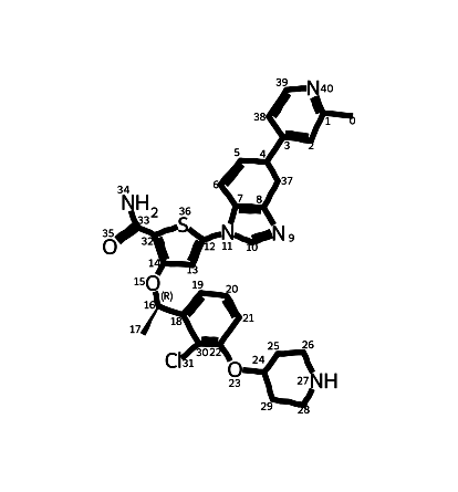 Cc1cc(C2C=Cc3c(ncn3-c3cc(O[C@H](C)c4cccc(OC5CCNCC5)c4Cl)c(C(N)=O)s3)C2)ccn1